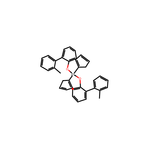 Cc1ccccc1-c1ccccc1[O][Zr]([O]c1ccccc1-c1ccccc1C)([C]1=CC=CC1)[C]1=CC=CC1